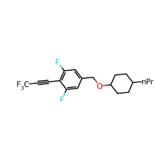 CCCC1CCC(OCc2cc(F)c(C#CC(F)(F)F)c(F)c2)CC1